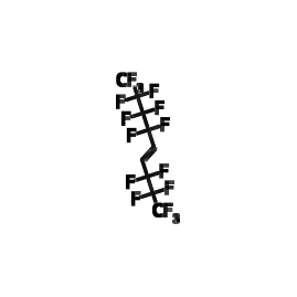 FC(F)(F)C(F)(F)C(F)(F)C=CC(F)(F)C(F)(F)C(F)(F)C(F)(F)F